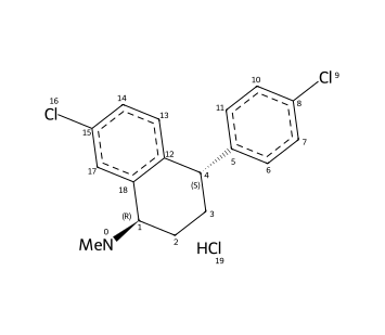 CN[C@@H]1CC[C@@H](c2ccc(Cl)cc2)c2ccc(Cl)cc21.Cl